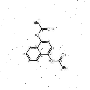 CCC(C)C(=O)Oc1ccc(OC(=O)C(C)CC)c2ccccc12